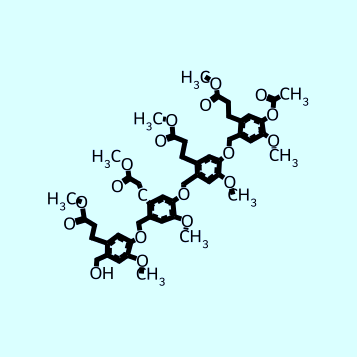 COC(=O)CCc1cc(OCc2cc(OC)c(OCc3cc(OC)c(OCc4cc(OC)c(OC(C)=O)cc4CCC(=O)OC)cc3CCC(=O)OC)cc2CCC(=O)OC)c(OC)cc1CO